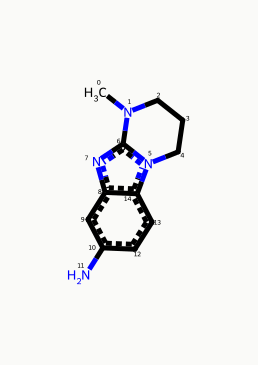 CN1CCCn2c1nc1cc(N)ccc12